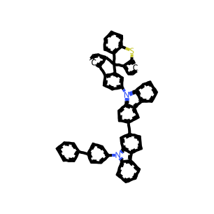 c1ccc(-c2ccc(-n3c4ccccc4c4ccc(-c5ccc6c(c5)c5ccccc5n6-c5ccc6c(c5)C5(c7ccccc7Sc7ccccc75)c5ccccc5-6)cc43)cc2)cc1